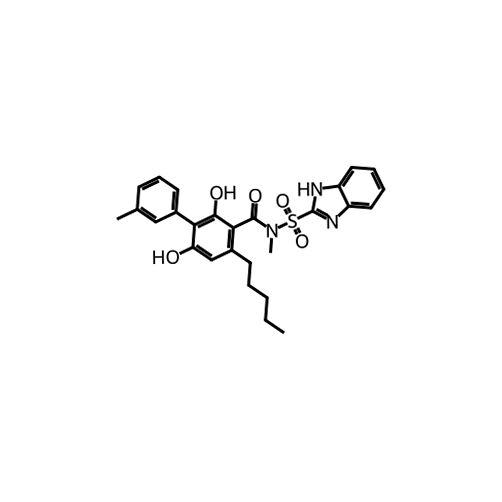 CCCCCc1cc(O)c(-c2cccc(C)c2)c(O)c1C(=O)N(C)S(=O)(=O)c1nc2ccccc2[nH]1